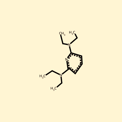 CCN(CC)c1cccc(N(CC)CC)n1